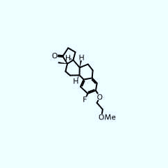 COCCOc1cc2c(cc1F)[C@H]1CC[C@]3(C)C(=O)CC[C@H]3[C@@H]1CC2